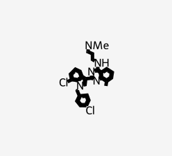 CNCCCNc1nc(-c2cn(Cc3ccc(Cl)cc3)c3c(Cl)cccc23)nc2c(C)cccc12